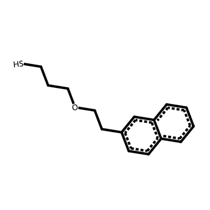 SCCCOCCc1ccc2ccccc2c1